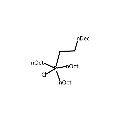 CCCCCCCCCCCCP(Cl)(CCCCCCCC)(CCCCCCCC)CCCCCCCC